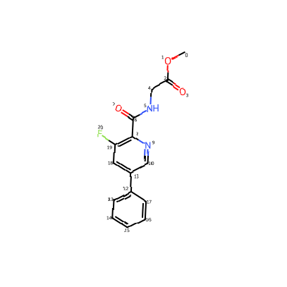 COC(=O)CNC(=O)c1ncc(-c2ccccc2)cc1F